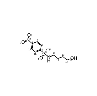 O=[N+]([O-])c1ccc(S(=O)(=O)NCCCCO)cc1